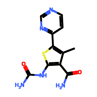 Cc1c(-c2ccncn2)sc(NC(N)=O)c1C(N)=O